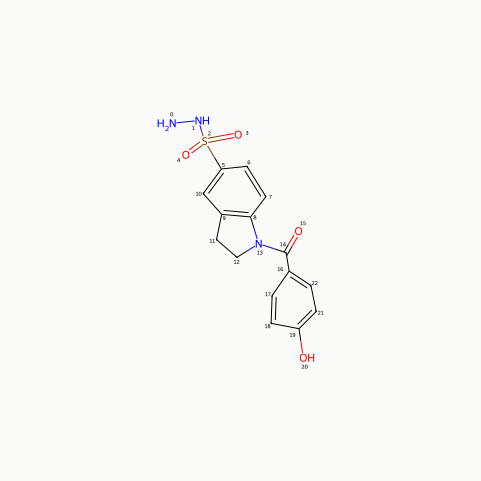 NNS(=O)(=O)c1ccc2c(c1)CCN2C(=O)c1ccc(O)cc1